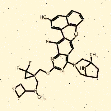 CN(C[C@@]1(COc2nc(N3CC4CC[C@@](C)(C3)N4)c3cc(F)c(-c4cc(O)cc5cccc(Cl)c45)c(F)c3n2)CC1(F)F)C1COC1